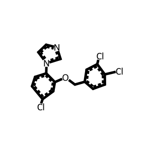 Clc1ccc(-n2ccnc2)c(OCc2ccc(Cl)c(Cl)c2)c1